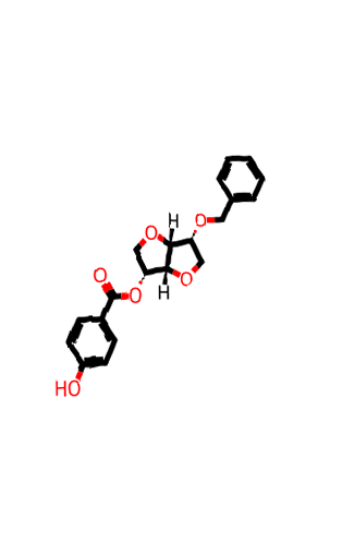 O=C(O[C@@H]1CO[C@H]2[C@@H]1OC[C@H]2OCc1ccccc1)c1ccc(O)cc1